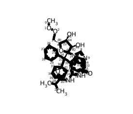 COOC[C@H]1O[C@](n2cnc3c(=O)[nH]c(NC(=O)C(C)C)nc32)(C(c2ccccc2)(c2ccccc2)c2ccccc2)[C@H](O)[C@@H]1O